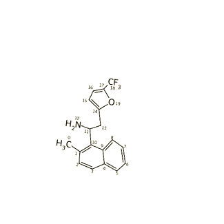 Cc1ccc2ccccc2c1C(N)Cc1ccc(C(F)(F)F)o1